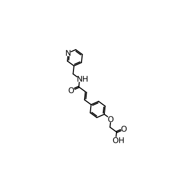 O=C(O)COc1ccc(C=CC(=O)NCc2cccnc2)cc1